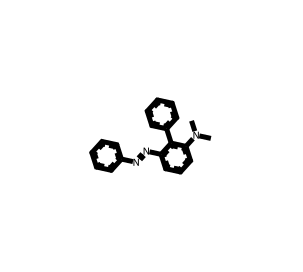 CN(C)c1cccc(N=Nc2ccccc2)c1-c1ccccc1